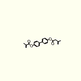 C=C(C)CC(=O)Oc1ccc(-c2ccc(OC(=O)C(=C)C)cc2)cc1